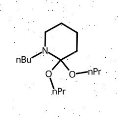 CCCCN1CCCCC1(OCCC)OCCC